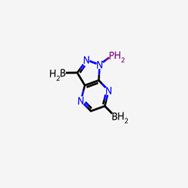 Bc1cnc2c(B)nn(P)c2n1